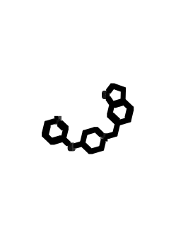 c1cncc(OC2CCN(Cc3ccc4c(c3)OCC4)CC2)c1